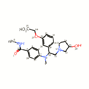 CCCNC(=O)c1ccc(N(C)C(CN2CCC(O)C2)c2cccc(OCC(=O)O)c2)cc1